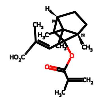 C=C(C)C(=O)OC1(C=C(C)C(=O)O)C[C@H]2CC[C@@]1(C)C2(C)C